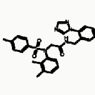 Cc1ccc(S(=O)(=O)N(CC(=O)NCc2ccccc2-n2cncn2)c2cccc(C)c2C)cc1